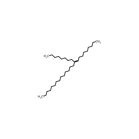 [CH2]CCCCCCC/C(=C\CCCCCCCC)CCCCCCCCCCCCCC